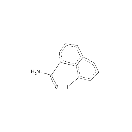 NC(=O)c1cccc2cccc(I)c12